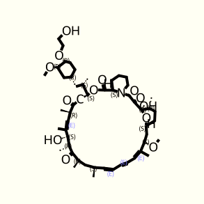 CO[C@H]1C[C@@H]2CC[C@@H](C)[C@@](O)(O2)C(=O)C(=O)N2CCCC[C@H]2C(=O)O[C@H]([C@@H](C)C[C@H]2CC[C@@H](OCCO)[C@H](OC)C2)CC(=O)[C@H](C)/C=C(\C)[C@@H](O)[C@@H](C)C(=O)[C@H](C)C[C@H](C)/C=C/C=C/C=C/1C